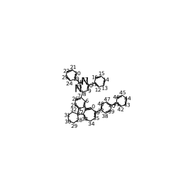 C1#CC(C2(c3ccc(-c4cc(-c5ccccc5)nc(-c5ccccc5)n4)cc3)CCCCC2)=CCC=C1c1ccc(-c2ccccc2)cc1